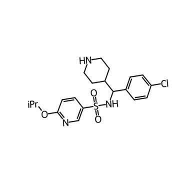 CC(C)Oc1ccc(S(=O)(=O)NC(c2ccc(Cl)cc2)C2CCNCC2)cn1